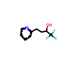 OC(CCc1ccccn1)C(F)(F)F